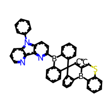 c1ccc(-n2c3cccnc3c3nc(B4c5ccccc5C5(c6ccccc64)c4ccccc4B4c6ccccc6Sc6cccc5c64)ccc32)cc1